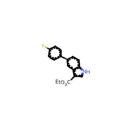 CCOC(=O)c1c[nH]c2ccc(-c3ccc(F)cc3)cc12